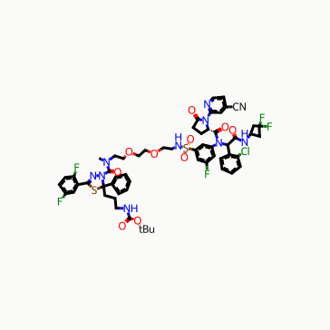 CN(CCOCCOCCNS(=O)(=O)c1cc(F)cc(N(C(=O)[C@@H]2CCC(=O)N2c2cc(C#N)ccn2)C(C(=O)NC2CC(F)(F)C2)c2ccccc2Cl)c1)C(=O)N1N=C(c2cc(F)ccc2F)SC1(CCCNC(=O)OC(C)(C)C)c1ccccc1